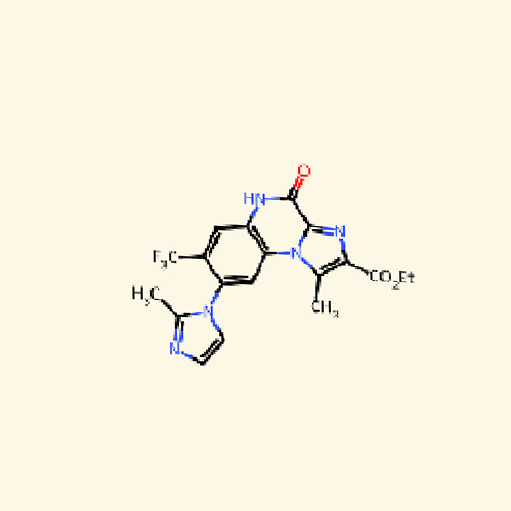 CCOC(=O)c1nc2c(=O)[nH]c3cc(C(F)(F)F)c(-n4ccnc4C)cc3n2c1C